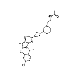 CC(=O)NCCN1CCCC(C2CN(c3cnc4c(C)nn([C@H](C)c5ccc(Cl)cc5Cl)c4n3)C2)C1